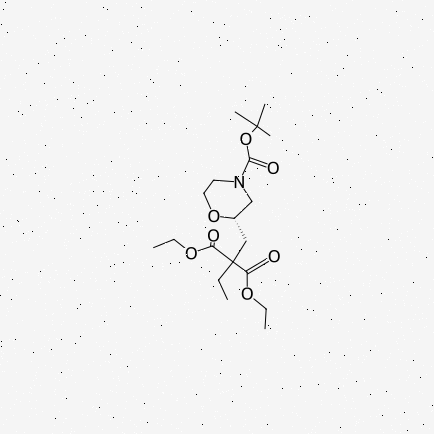 CCOC(=O)C(CC)(C[C@H]1CN(C(=O)OC(C)(C)C)CCO1)C(=O)OCC